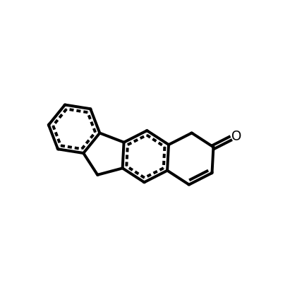 O=C1C=Cc2cc3c(cc2C1)-c1ccccc1C3